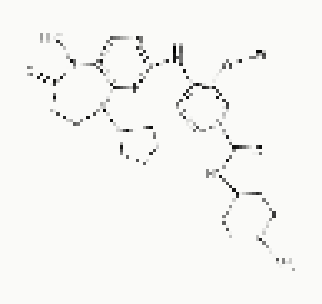 CCOc1cc(C(=O)NC2CCN(C)CC2)ccc1Nc1ncc2c(n1)N(C1CCCC1)CCC(=O)N2C